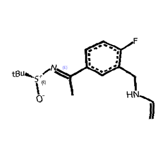 C=CNCc1cc(/C(C)=N/[S@@+]([O-])C(C)(C)C)ccc1F